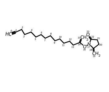 C#CCCCCCCCCCCCCC(=C)ON1C(=C)CCC1=O